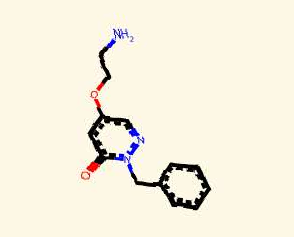 NCCOc1cnn(Cc2ccccc2)c(=O)c1